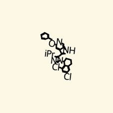 CC(C)c1ncn(C2CCCc3cc(Cl)cc(Cl)c32)c1-c1c[nH]c2cnc(OCc3ccccc3)cc12